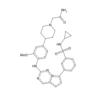 COc1cc(C2CCN(CC(N)=O)CC2)ccc1Nc1ncc2ccc(-c3cccc(S(=O)(=O)NC4CC4)c3)n2n1